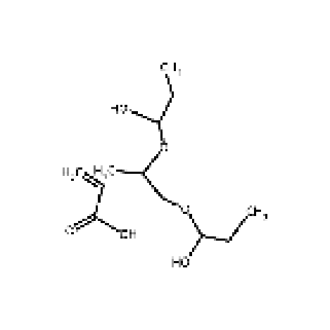 C=CC(=O)O.CCC(O)OCC(C)OC(O)CC